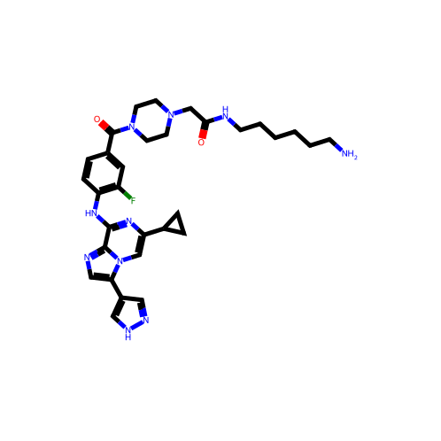 NCCCCCCNC(=O)CN1CCN(C(=O)c2ccc(Nc3nc(C4CC4)cn4c(-c5cn[nH]c5)cnc34)c(F)c2)CC1